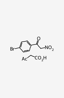 CC(=O)CC(=O)O.O=C(C[N+](=O)[O-])c1ccc(Br)cc1